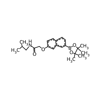 CC(C)CNC(=O)COc1ccc2ccc(B3OC(C)(C)C(C)(C)O3)cc2c1